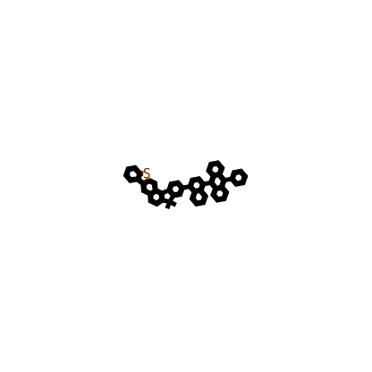 CC1(C)c2cc(-c3ccc(-c4c5ccccc5c(-c5ccccc5)c5ccccc45)c4ccccc34)ccc2-c2c1ccc1cc3c(cc21)sc1ccccc13